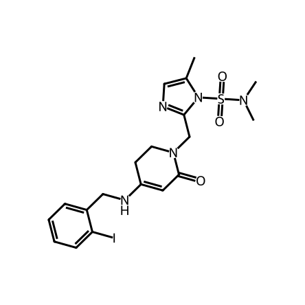 Cc1cnc(CN2CCC(NCc3ccccc3I)=CC2=O)n1S(=O)(=O)N(C)C